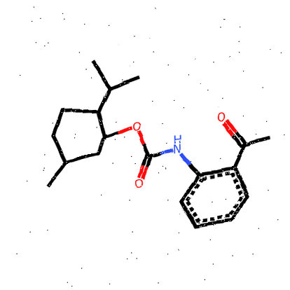 CC(=O)c1ccccc1NC(=O)OC1CC(C)CCC1C(C)C